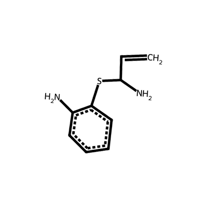 C=CC(N)Sc1ccccc1N